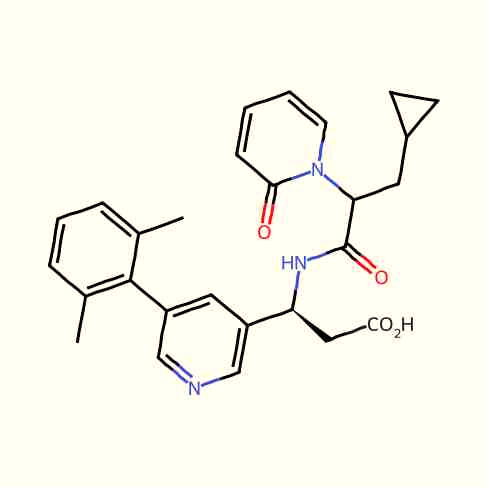 Cc1cccc(C)c1-c1cncc([C@H](CC(=O)O)NC(=O)C(CC2CC2)n2ccccc2=O)c1